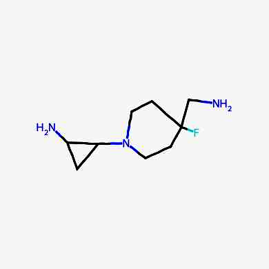 NCC1(F)CCN(C2CC2N)CC1